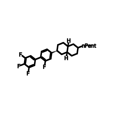 CCCCCC1CC[C@@H]2C[C@H](c3ccc(-c4cc(F)c(F)c(F)c4)c(F)c3)CC[C@@H]2C1